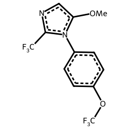 COc1cnc(C(F)(F)F)n1-c1ccc(OC(F)(F)F)cc1